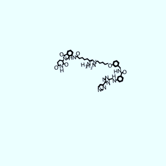 Cn1c(CNc2cccc(C(=O)NCc3cccc(OCCCCCN(N)/C=C(\N)CCCCC(=O)Nc4cccc5c4CN(C4CCC(=O)NC4=O)C5=O)c3)c2)nnc1-c1ccncn1